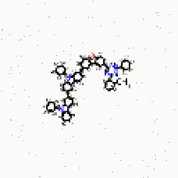 CC1C=CC=CC1c1nc(-c2ccccc2)nc(-c2ccc3oc4ccc(-c5ccc6c7cc(-c8ccc9c%10ccccc%10n(-c%10ccccc%10)c9c8)ccc7n(-c7ccccc7)c6c5)cc4c3c2)n1